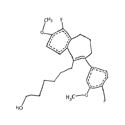 COc1cc(C2=C(CCCCCCO)c3ccc(OC)c(F)c3CCC2)ccc1F